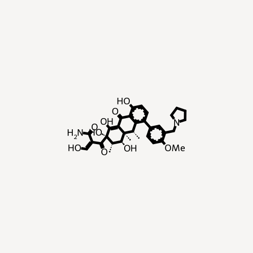 COc1ccc(-c2ccc(O)c3c2[C@H](C)[C@]2(C)C(=C(O)[C@](O)(C(=O)/C(=C/O)C(N)=O)[C@@H](C)[C@H]2O)C3=O)cc1CN1CCCC1